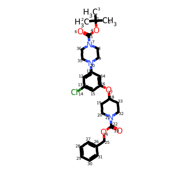 CC(C)(C)OC(=O)N1CCN(c2cc(Cl)cc(OC3CCN(C(=O)OCc4ccccc4)CC3)c2)CC1